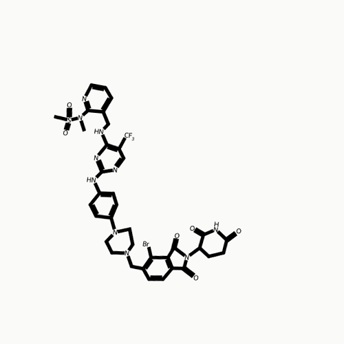 CN(c1ncccc1CNc1nc(Nc2ccc(N3CCN(Cc4ccc5c(c4Br)C(=O)N(C4CCC(=O)NC4=O)C5=O)CC3)cc2)ncc1C(F)(F)F)S(C)(=O)=O